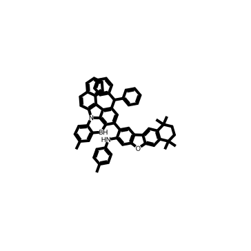 Cc1ccc(Nc2cc3oc4cc5c(cc4c3cc2-c2cc(C(c3ccccc3)c3ccccc3)c3c4c6ccccc6ccc4n4c3c2Bc2cc(C)ccc2-4)C(C)(C)CCC5(C)C)cc1